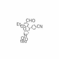 CCOc1cc(C=O)cc2c1OC1(C=C2c2ccc(C#N)cc2)CCN(C(=O)OC(C)(C)C)CC1